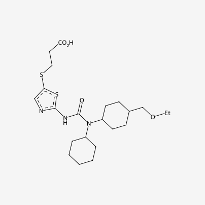 CCOCC1CCC(N(C(=O)Nc2ncc(SCCC(=O)O)s2)C2CCCCC2)CC1